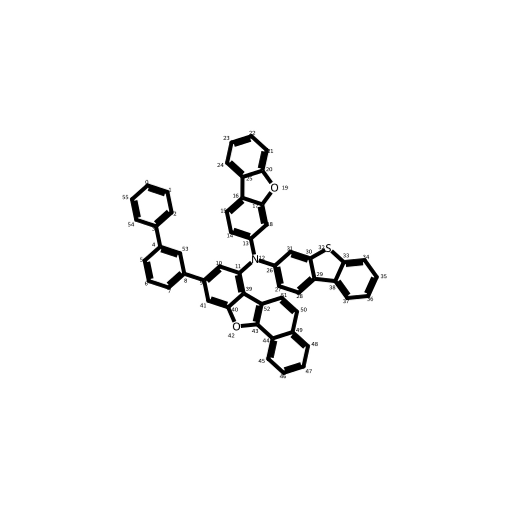 c1ccc(-c2cccc(-c3cc(N(c4ccc5c(c4)oc4ccccc45)c4ccc5c(c4)sc4ccccc45)c4c(c3)oc3c5ccccc5ccc34)c2)cc1